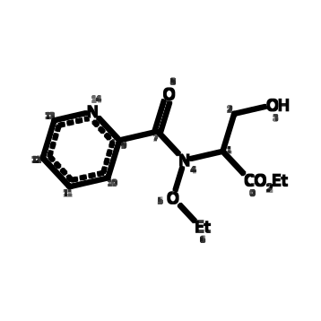 CCOC(=O)C(CO)N(OCC)C(=O)c1ccccn1